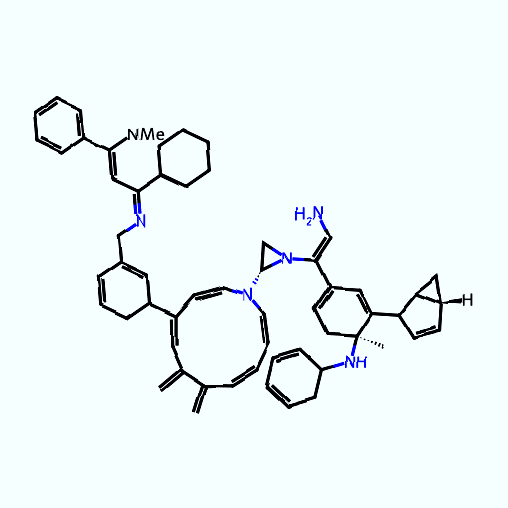 C=C1/C=C\C=C/N([C@@H]2CN2/C(=C\N)C2=CC[C@](C)(NC3C=CC=CC3)C(C3C=C[C@H]4CC34)=C2)/C=C\C(C2C=C(C/N=C(\C=C(/NC)c3ccccc3)C3CCCCC3)C=CC2)=C/C1=C